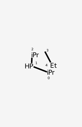 CC(C)PC(C)C.CCC